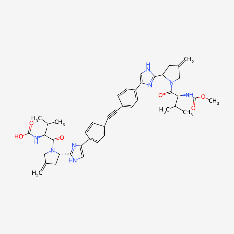 C=C1CC(c2nc(-c3ccc(C#Cc4ccc(-c5c[nH]c([C@@H]6CC(=C)CN6C(=O)[C@@H](NC(=O)O)C(C)C)n5)cc4)cc3)c[nH]2)N(C(=O)[C@@H](NC(=O)OC)C(C)C)C1